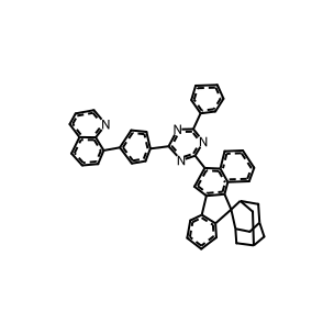 c1ccc(-c2nc(-c3ccc(-c4cccc5cccnc45)cc3)nc(-c3cc4c(c5ccccc35)C3(c5ccccc5-4)C4CC5CC(C4)CC3C5)n2)cc1